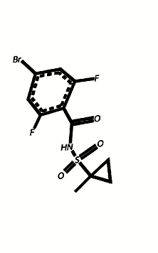 CC1(S(=O)(=O)NC(=O)c2c(F)cc(Br)cc2F)CC1